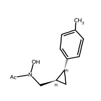 CC(=O)N(O)C[C@@H]1C[C@H]1c1ccc(C)cc1